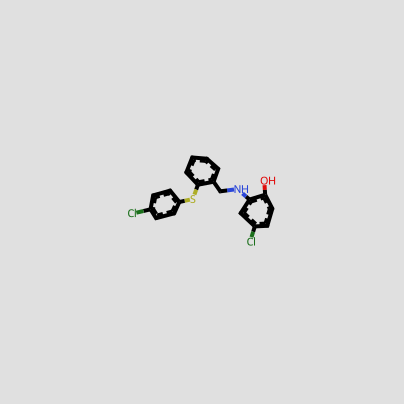 Oc1ccc(Cl)cc1NCc1ccccc1Sc1ccc(Cl)cc1